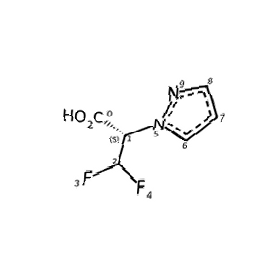 O=C(O)[C@@H](C(F)F)n1cccn1